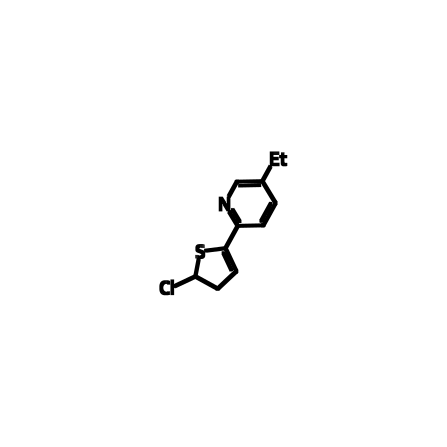 CCc1ccc(C2=CCC(Cl)S2)nc1